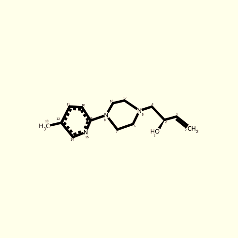 C=C[C@@H](O)CN1CCN(c2ccc(C)cn2)CC1